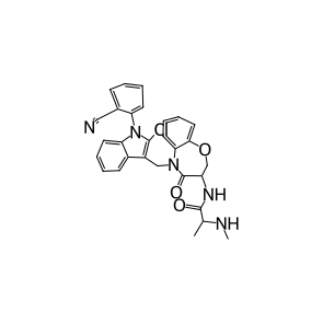 CNC(C)C(=O)NC1COc2ccccc2N(Cc2c(Cl)n(-c3ccccc3C#N)c3ccccc23)C1=O